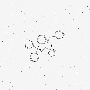 c1ccc(COC[C@]2(COC(c3ccccc3)(c3ccccc3)c3ccccc3)CCCO2)cc1